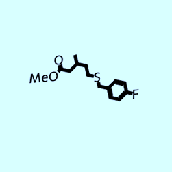 COC(=O)CC(C)CCSCc1ccc(F)cc1